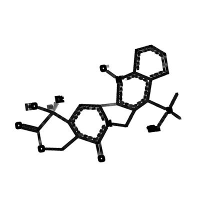 CC[C@@]1(O)C(=O)OCc2c1cc1n(c2=O)Cc2c([Si](C)(C)C(C)(C)C)c3ccccc3[n+]([O-])c2-1